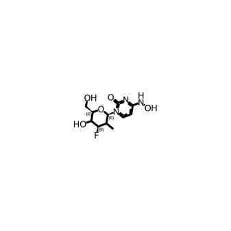 CC1[C@@H](F)C(O)[C@@H](CO)O[C@H]1n1ccc(NO)nc1=O